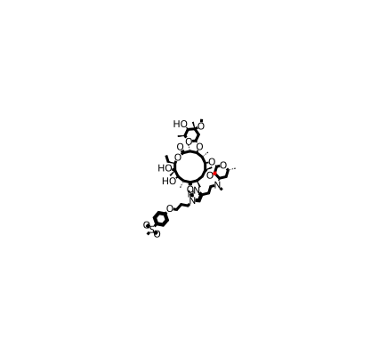 CC[C@H]1OC(=O)[C@H](C)[C@@H](O[C@H]2C[C@@](C)(OC)[C@@H](O)[C@H](C)O2)[C@H](C)[C@@H](O[C@H]2C[C@@H](N(C)CCc3cn(CCCOc4ccc(S(C)(=O)=O)cc4)nn3)C[C@@H](C)O2)[C@](C)(OC)C[C@@H](C)C(=O)[C@H](C)[C@@H](O)[C@]1(C)O